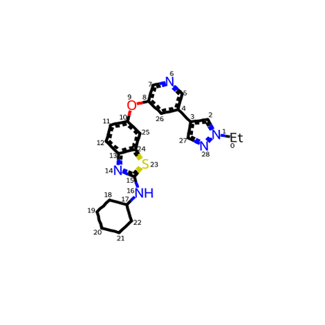 CCn1cc(-c2cncc(Oc3ccc4nc(NC5CCCCC5)sc4c3)c2)cn1